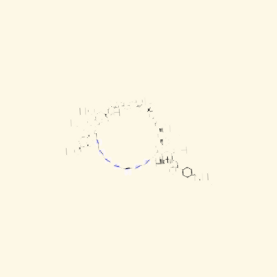 C=C1CCCC(=O)CC(O)CCCC(O)CC2(O)CC(O)C(C(=O)O)C(CC(OC3CCC(O)CO3)/C=C/C=C/C=C/C=C/C=C/C=C/C=C/C(C)C(C(C)CC(C)C(O)CC(=O)c3ccc(N)cc3)OC(=O)C1)O2